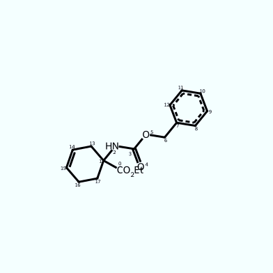 CCOC(=O)C1(NC(=O)OCc2ccccc2)CC=CCC1